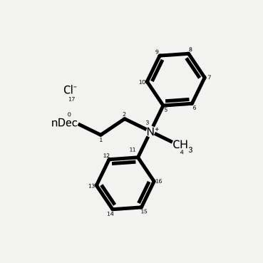 CCCCCCCCCCCC[N+](C)(c1ccccc1)c1ccccc1.[Cl-]